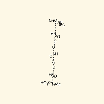 BNC(C=O)CCCCNC(=O)COCCOCCNC(=O)COCCOCCNC(=O)CCC(NC)C(=O)O